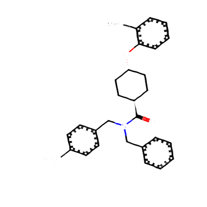 COc1ccccc1O[C@H]1CC[C@H](C(=O)N(Cc2ccccc2)Cc2ccc(C(=O)O)cc2)CC1